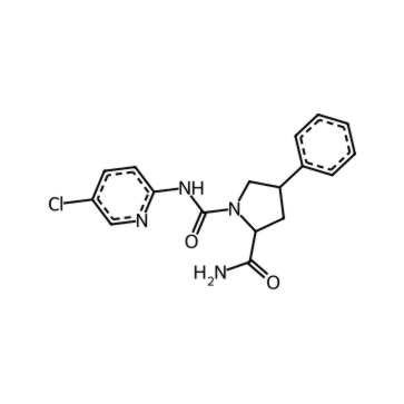 NC(=O)C1CC(c2ccccc2)CN1C(=O)Nc1ccc(Cl)cn1